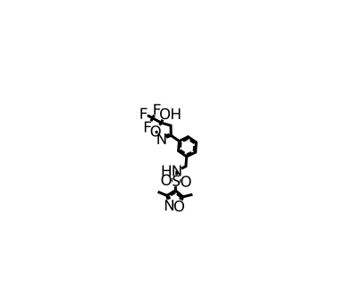 Cc1noc(C)c1S(=O)(=O)NCc1cccc(C2=NOC(O)(C(F)(F)F)C2)c1